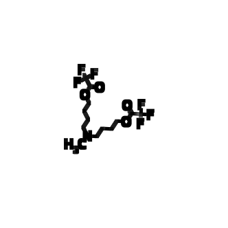 CN(CCCCOC(=O)C(F)(F)F)CCCCOC(=O)C(F)(F)F